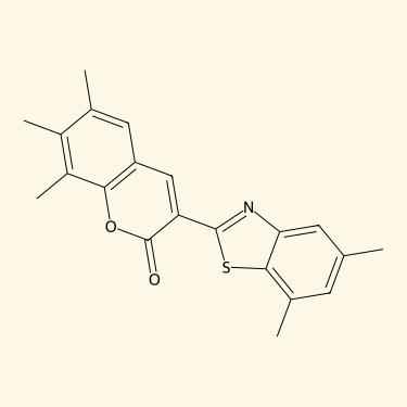 Cc1cc(C)c2sc(-c3cc4cc(C)c(C)c(C)c4oc3=O)nc2c1